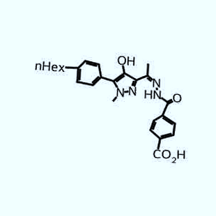 CCCCCCc1ccc(-c2c(O)c(/C(C)=N\NC(=O)c3ccc(C(=O)O)cc3)nn2C)cc1